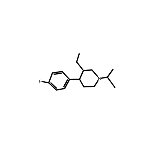 CCC1CN(C(C)C)CCC1c1ccc(F)cc1